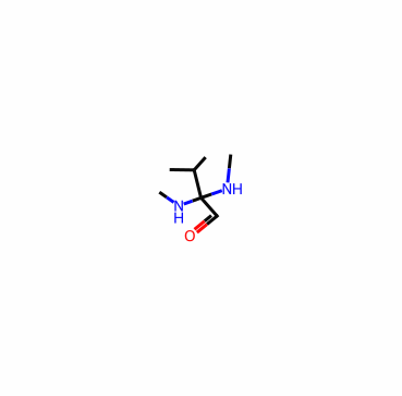 CNC(C=O)(NC)C(C)C